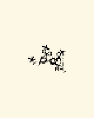 CC(C)(C)OC(=O)N1CC([C@@H]2C[C@@H](O[Si](C)(C)C(C)(C)C)CN2C(=O)OC(C)(C)C)CC1C(N)=O